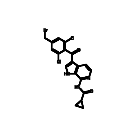 O=C(c1c(Cl)cc(CBr)cc1Cl)c1c[nH]c2c(NC(=O)C3CC3)nccc12